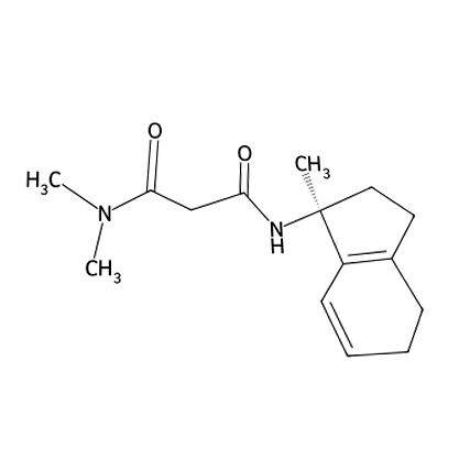 CN(C)C(=O)CC(=O)N[C@@]1(C)CCC2=C1C=CCC2